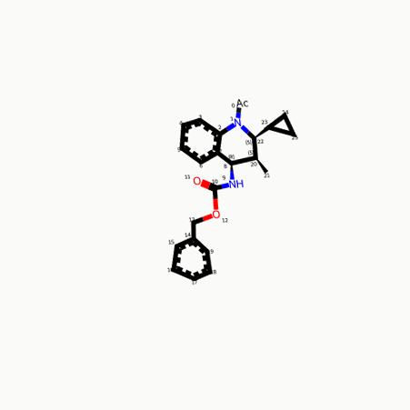 CC(=O)N1c2ccccc2[C@H](NC(=O)OCc2ccccc2)[C@H](C)[C@@H]1C1CC1